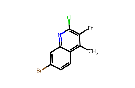 CCc1c(Cl)nc2cc(Br)ccc2c1C